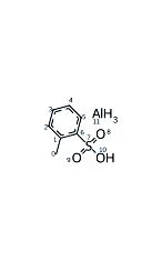 Cc1ccccc1S(=O)(=O)O.[AlH3]